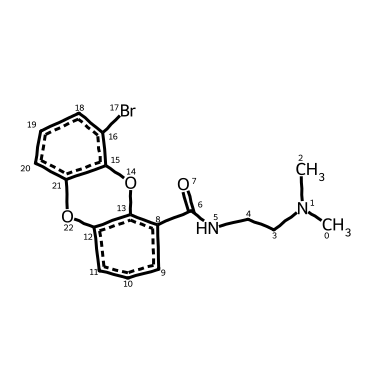 CN(C)CCNC(=O)c1cccc2c1Oc1c(Br)cccc1O2